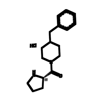 Cl.O=C([C@@H]1CCCN1)N1CCC(Cc2ccccc2)CC1